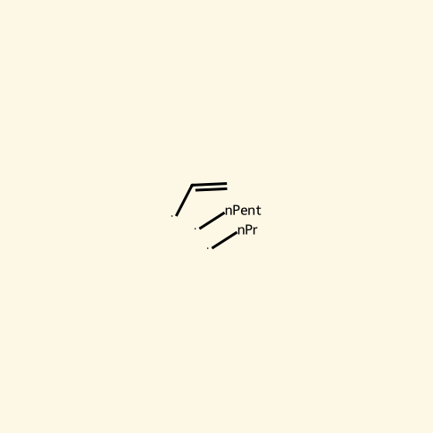 [CH2]C=C.[CH2]CCC.[CH2]CCCCC